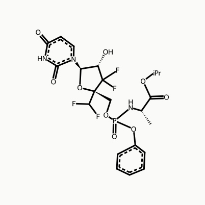 CC(C)OC(=O)[C@H](C)NP(=O)(OC[C@@]1(C(F)F)O[C@@H](n2ccc(=O)[nH]c2=O)[C@H](O)C1(F)F)Oc1ccccc1